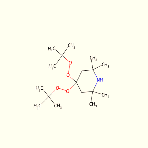 CC1(C)CC(OOC(C)(C)C)(OOC(C)(C)C)CC(C)(C)N1